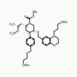 COCCCN1CCOc2ccc(CO[C@H]3CN(C(=O)OC(C)(C)C)[C@@H](C[C@@H](C)O[N+](=O)[O-])C[C@@H]3c3ccc(COCCOC)cc3)cc21